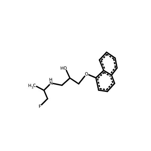 CC(CF)NCC(O)COc1cccc2ccccc12